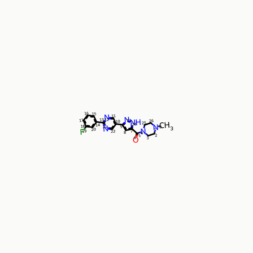 CN1CCN(C(=O)c2cc(-c3cnc(-c4cccc(F)c4)nc3)n[nH]2)CC1